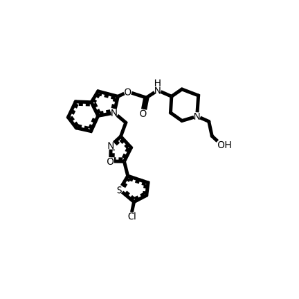 O=C(NC1CCN(CCO)CC1)Oc1cc2ccccc2n1Cc1cc(-c2ccc(Cl)s2)on1